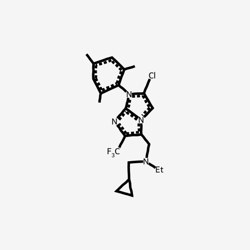 CCN(Cc1c(C(F)(F)F)nc2n(-c3c(C)cc(C)cc3C)c(Cl)cn12)CC1CC1